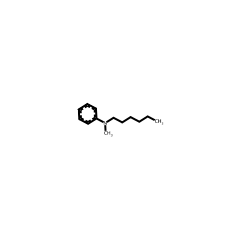 CCCCCCN(C)c1cc[c]cc1